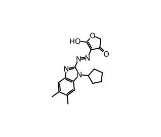 Cc1cc2nc(N=NC3=C(O)OCC3=O)n(C3CCCC3)c2cc1C